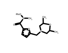 CON(C)C(=O)c1ccc(CN2CC(C)OC(C)C2)o1